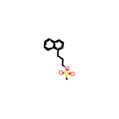 CS(=O)(=O)OCCCc1cccc2ccccc12